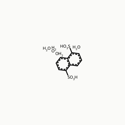 O.O.O.O.O=S(=O)(O)c1cccc2c(S(=O)(=O)O)cccc12